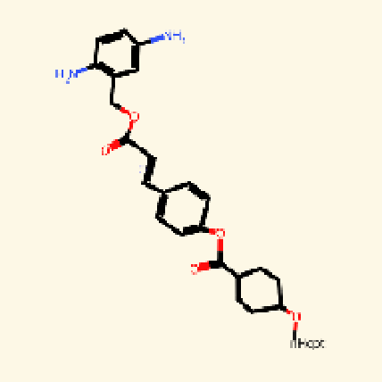 CCCCCCCOC1CCC(C(=O)Oc2ccc(/C=C/C(=O)OCc3cc(N)ccc3N)cc2)CC1